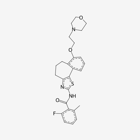 Cc1cccc(F)c1C(=O)Nc1nc2c(s1)-c1cccc(OCCN3CCOCC3)c1CCC2